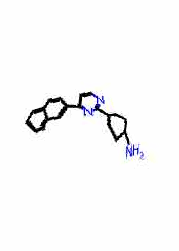 NCC1CCC(c2nccc(-c3ccc4ccccc4c3)n2)CC1